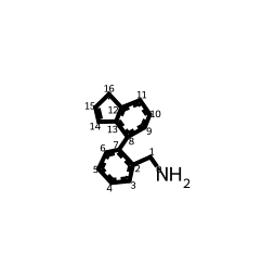 NCc1ccccc1-c1cccc2c1C=C[CH]2